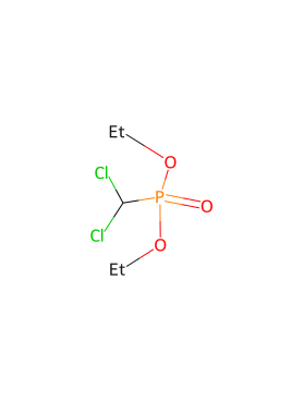 CCOP(=O)(OCC)C(Cl)Cl